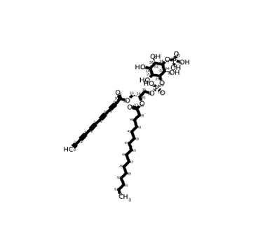 C#CC#CC#CC#CC#CC(=O)OC[C@H](COP(=O)(O)OC1C(O)C(O)[C@H](O)C(OP(=O)(O)O)[C@@H]1O)OC(=O)CCCCCCCCCCCCCCC